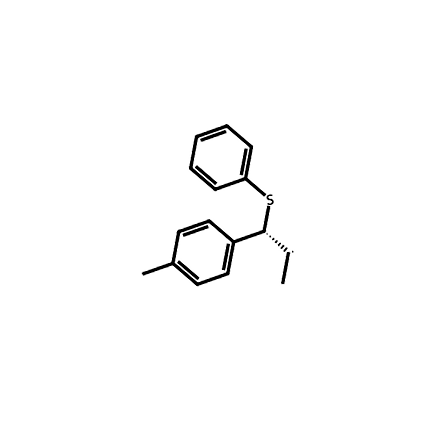 C[CH][C@@H](Sc1ccccc1)c1ccc(C)cc1